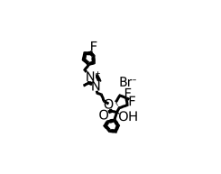 Cc1n(CCCOC(=O)[C@](O)(c2ccccc2)[C@@H]2CCC(F)(F)C2)cc[n+]1Cc1ccc(F)cc1.[Br-]